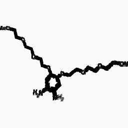 COCCOCCOCCOc1cc(N)c(N)cc1OCCOCCOCCOC